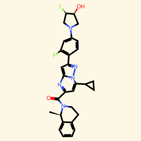 C[C@@H]1c2ccccc2CCN1C(=O)c1cc(C2CC2)n2nc(-c3ccc(N4C[C@@H](F)[C@@H](O)C4)cc3F)cc2n1